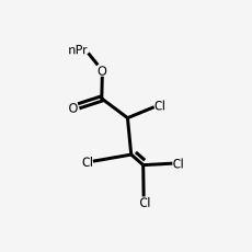 CCCOC(=O)C(Cl)C(Cl)=C(Cl)Cl